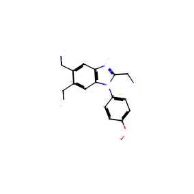 CCOc1ccc(-n2c(CI)nc3cc(CI)c(CI)cc32)cc1